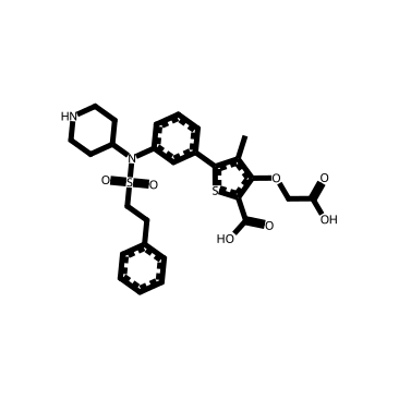 Cc1c(-c2cccc(N(C3CCNCC3)S(=O)(=O)CCc3ccccc3)c2)sc(C(=O)O)c1OCC(=O)O